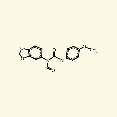 COc1ccc(NC(=O)N(C=O)c2ccc3c(c2)OCO3)cc1